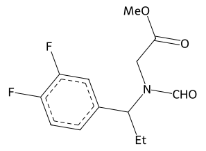 CCC(c1ccc(F)c(F)c1)N(C=O)CC(=O)OC